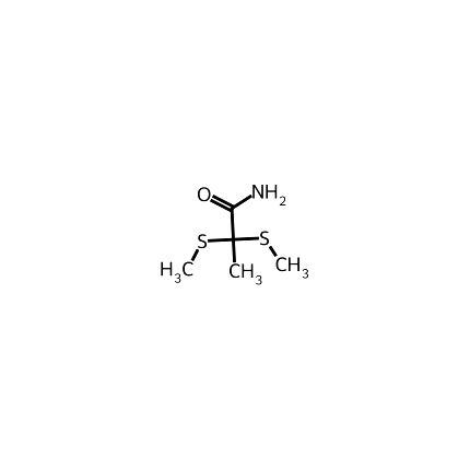 CSC(C)(SC)C(N)=O